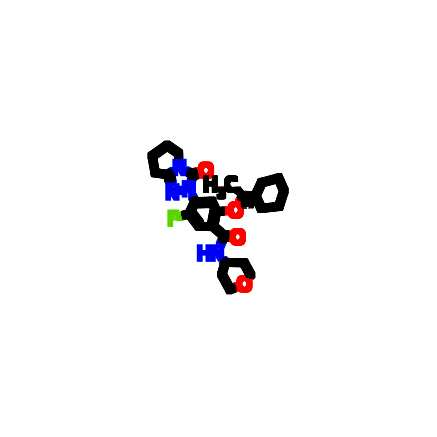 C[C@H](Oc1cc(-n2nc3n(c2=O)CCCC3)c(F)cc1C(=O)NC1CCOCC1)C1CCCCC1